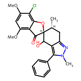 COc1cc(OC)c2c(c1Cl)O[C@]1(C2=O)C(O)c2c(nn(C)c2-c2ccccc2)C[C@H]1C